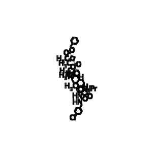 CC(C)C1=C2[C@H]3CC[C@@H]4[C@@]5(C)CC[C@H](OC(=O)[C@H]6C[C@@H](C(=O)OCc7ccccc7)C6(C)C)C(C)(C)[C@@H]5CC[C@@]4(C)[C@]3(C)CC[C@@]2(NC(=O)NCc2ccc(Cl)cc2)CC1=O